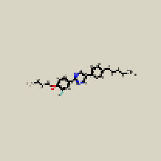 CCCCCc1ccc(-c2cnc(-c3ccc(OCCCC)c(F)c3)nc2)cc1